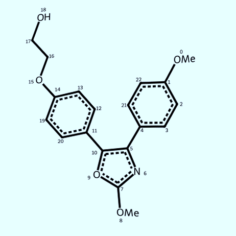 COc1ccc(-c2nc(OC)oc2-c2ccc(OCCO)cc2)cc1